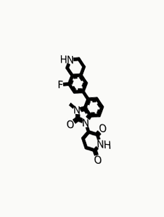 Cn1c(=O)n(C2CCC(=O)NC2=O)c2cccc(-c3cc(F)c4c(c3)CCNC4)c21